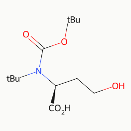 CC(C)(C)OC(=O)N([C@@H](CCO)C(=O)O)C(C)(C)C